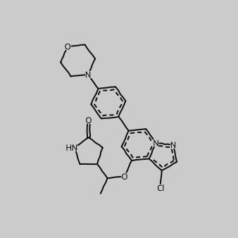 CC(Oc1cc(-c2ccc(N3CCOCC3)cc2)cn2ncc(Cl)c12)C1CNC(=O)C1